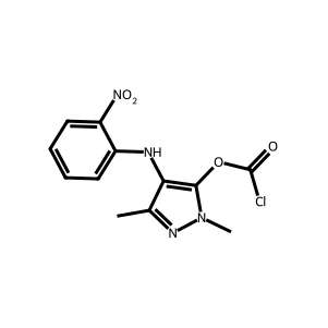 Cc1nn(C)c(OC(=O)Cl)c1Nc1ccccc1[N+](=O)[O-]